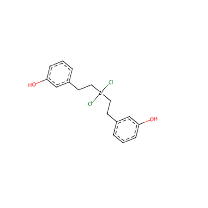 Oc1cccc(C[CH2][Zr]([Cl])([Cl])[CH2]Cc2cccc(O)c2)c1